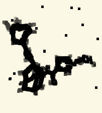 Cn1ccc(C(=O)NC23CC4CC(CC(C#Cc5cnccn5)(C4)C2)C3)n1